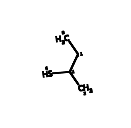 C[CH]C(C)S